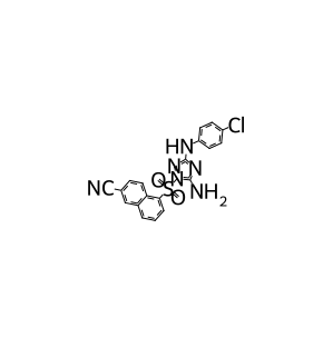 N#Cc1ccc2c(S(=O)(=O)n3nc(Nc4ccc(Cl)cc4)nc3N)cccc2c1